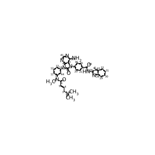 CN(C)CC=CC(=O)N(C)c1cccc(-n2c(=O)n(-c3ccc(C(=O)Nc4nc5ccccc5s4)cc3)c3c(N)ncnc32)c1